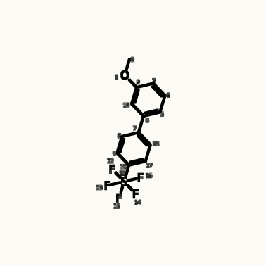 COc1cccc(-c2ccc(S(F)(F)(F)(F)F)cc2)c1